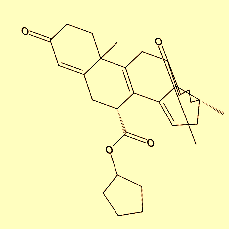 CC12CCC(=O)C=C1C[C@@H](C(=O)OC1CCCC1)C1=C2CCC23C(=O)CC[C@]2(C)CC=C13